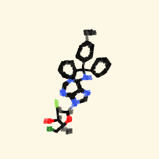 CC[C@@]1(CCl)O[C@@H](n2cnc3c(NC(c4ccccc4)(c4ccccc4)c4ccc(OC)cc4)ncnc32)[C@H](F)[C@@H]1O